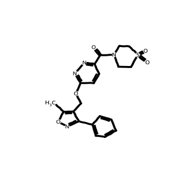 Cc1onc(-c2ccccc2)c1COc1ccc(C(=O)N2CCS(=O)(=O)CC2)nn1